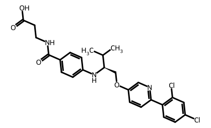 CC(C)[C@@H](COc1ccc(-c2ccc(Cl)cc2Cl)nc1)Nc1ccc(C(=O)NCCC(=O)O)cc1